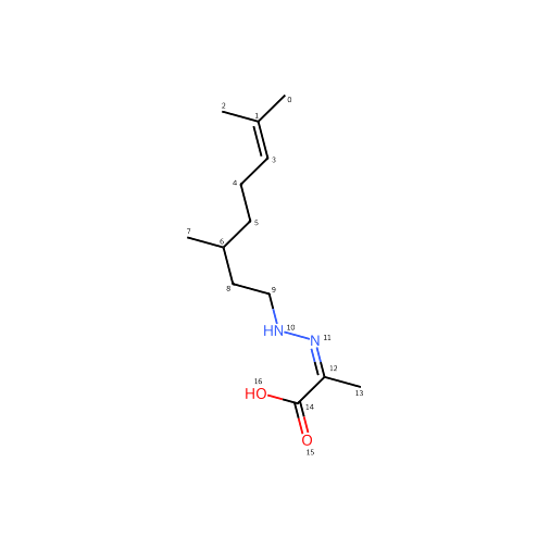 CC(C)=CCCC(C)CCN/N=C(/C)C(=O)O